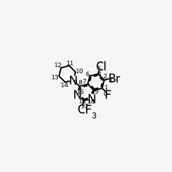 Fc1c(Br)c(Cl)cc2c(N3CCCCC3)nc(C(F)(F)F)nc12